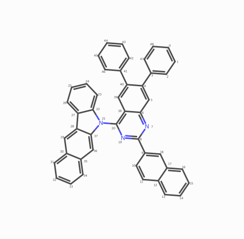 c1ccc(-c2cc3nc(-c4ccc5ccccc5c4)nc(-n4c5ccccc5c5cc6ccccc6cc54)c3cc2-c2ccccc2)cc1